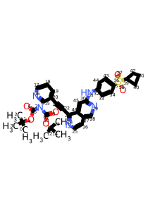 CC(C)(C)OC(=O)N(C(=O)OC(C)(C)C)c1ncccc1C#Cc1nccc2cnc(Nc3ccc(S(=O)(=O)C4CCC4)cc3)cc12